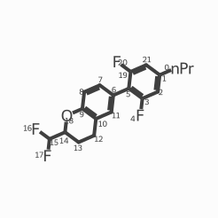 CCCc1cc(F)c(-c2ccc3c(c2)CCC(C(F)F)O3)c(F)c1